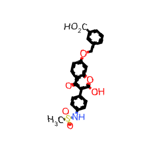 CS(=O)(=O)Nc1ccc(-c2c(O)oc3cc(OCc4cccc(C(=O)O)c4)ccc3c2=O)cc1